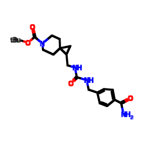 CC(C)(C)OC(=O)N1CCC2(CC1)CC2CNC(=O)NCc1ccc(C(N)=O)cc1